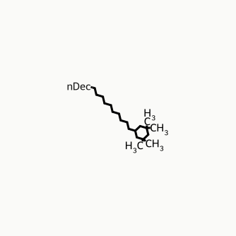 CCCCCCCCCCCCCCCCCCCCC1CC(C)(C)CC(C)(C)C1